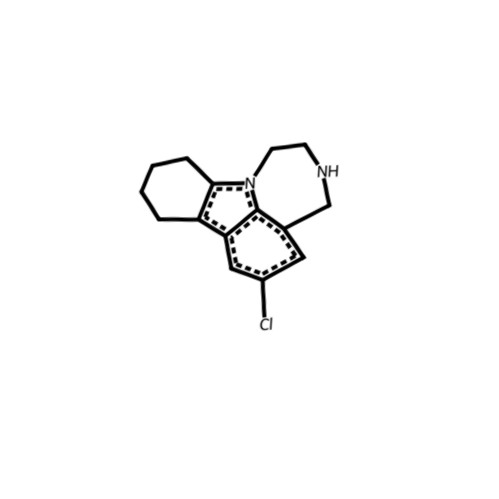 Clc1cc2c3c(c1)c1c(n3CCNC2)CCCC1